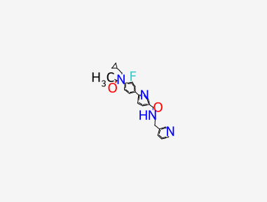 CC(=O)N(CC1CC1)c1ccc(-c2ccc(C(=O)NCCc3cccnc3)cn2)cc1F